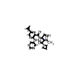 CN/C(C(=O)N1CCC1)=C(\C=N)NC(=O)c1nc(C2CC2)cnc1Nc1cncnc1